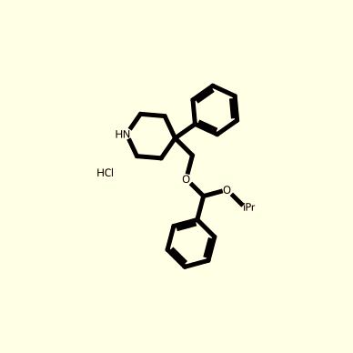 CC(C)OC(OCC1(c2ccccc2)CCNCC1)c1ccccc1.Cl